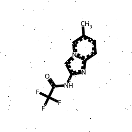 Cc1ccc2nc(NC(=O)C(F)(F)F)cn2c1